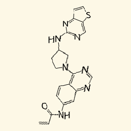 C=CC(=O)Nc1ccc2c(N3CCC(Nc4ncc5sccc5n4)C3)ncnc2c1